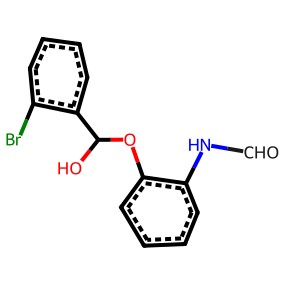 O=CNc1ccccc1OC(O)c1ccccc1Br